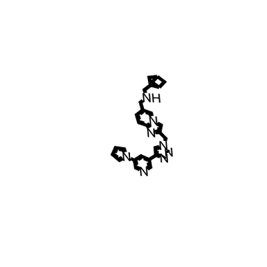 c1ccn(-c2cncc(-c3cn(Cc4cn5cc(CNCC6CC7CC6C7)ccc5n4)nn3)c2)c1